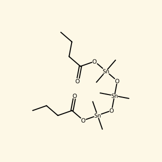 CCCC(=O)[O][Sn]([CH3])([CH3])[O][Sn]([CH3])([CH3])[O][Sn]([CH3])([CH3])[O]C(=O)CCC